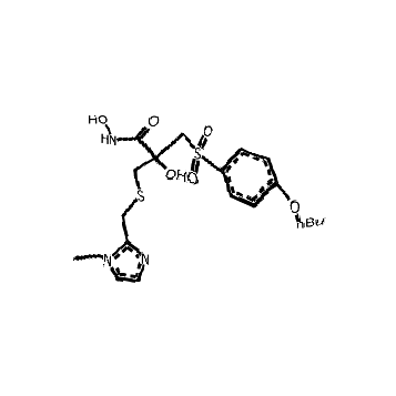 CCCCOc1ccc(S(=O)(=O)CC(O)(CSCc2nccn2C)C(=O)NO)cc1